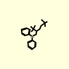 CC(C)(C)CCC(CN(c1ccccc1)c1ccccc1)C(C)(C)C